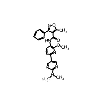 COc1nc(-c2cnc(N(C)C)nc2)ccc1NC(=O)c1c(-c2ccccc2)noc1C